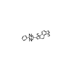 c1ccc(-c2ncc(-c3cc4ccc5c(ccc6ccsc65)c4s3)cn2)cc1